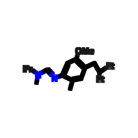 CCC(CC)Cc1cc(C)c(/N=C/N(C)C(C)C)cc1OC